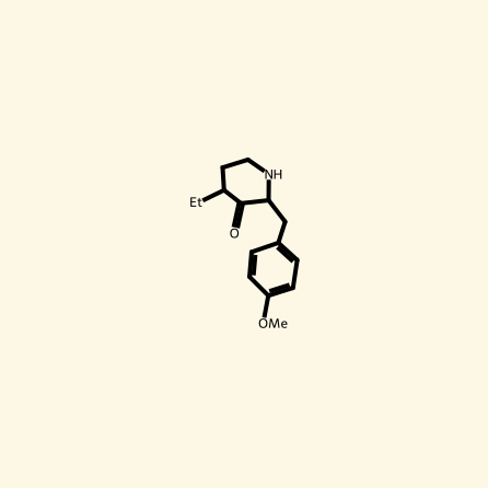 CCC1CCNC(Cc2ccc(OC)cc2)C1=O